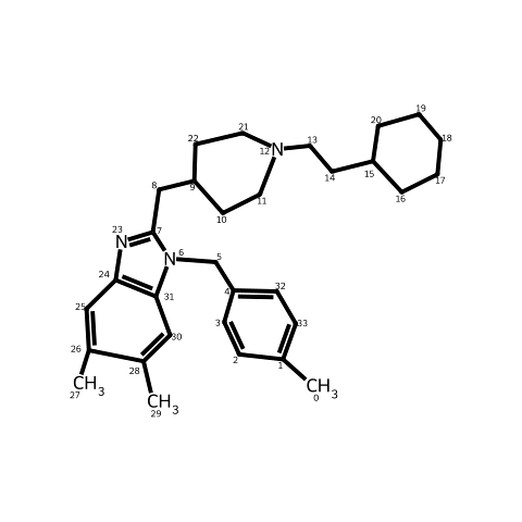 Cc1ccc(Cn2c(CC3CCN(CCC4CCCCC4)CC3)nc3cc(C)c(C)cc32)cc1